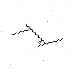 CCCCCCCCC(CCC)OC(=O)CCCCCCCN(CCC)CCCCCCCC